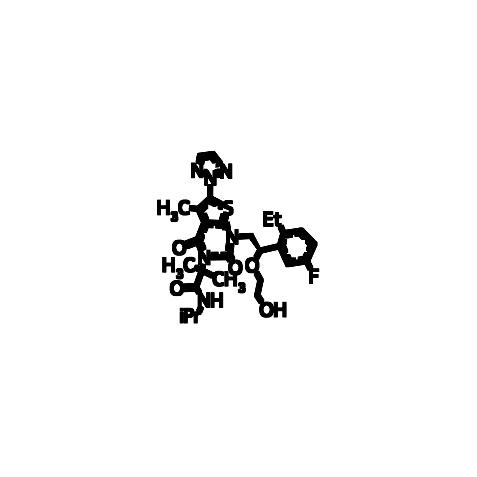 CCc1ccc(F)cc1[C@H](Cn1c(=O)n(C(C)(C)C(=O)NC(C)C)c(=O)c2c(C)c(-n3nccn3)sc21)OCCO